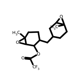 CC12CCC(CC3CCC4(C)OC4C3OC(=O)C(F)(F)F)CC1O2